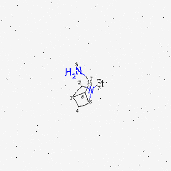 CCN1CC2CC1C2CN